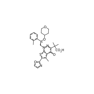 Cc1ccccc1[C@H](Cn1nc(C(C)(C)C(=O)O)c(=O)c2c(C)c(-c3ncco3)sc21)OC1CCOCC1